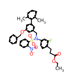 CCOC(=O)CCc1ccc(N(Cc2cc(OCc3ccccc3)cc(-c3c(C)cccc3C)c2)S(=O)(=O)c2ccccc2[N+](=O)[O-])cc1F